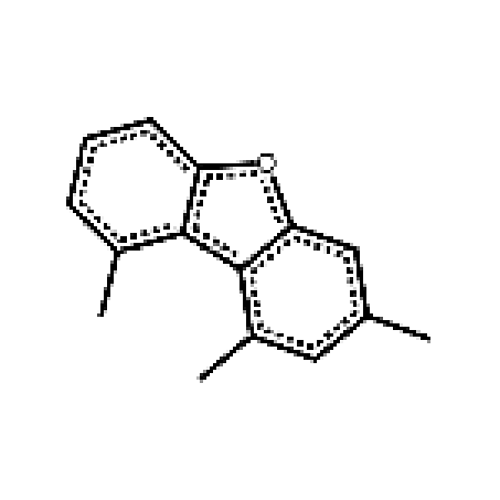 Cc1cc(C)c2c(c1)oc1cccc(C)c12